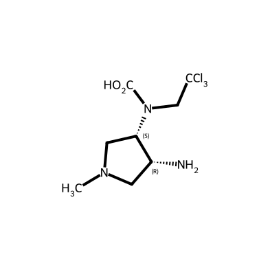 CN1C[C@@H](N)[C@@H](N(CC(Cl)(Cl)Cl)C(=O)O)C1